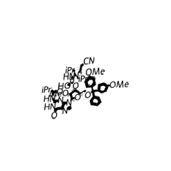 COc1ccc(C(OC[C@H]2O[C@@H](n3cnc4c(=O)[nH]c(NC(=O)C(C)C)nc43)[C@H](OC)[C@@H]2OP(O)N[N+](CCC#N)(C(C)C)C(C)C)(c2ccccc2)c2ccc(OC)cc2)cc1